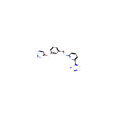 CC(C)n1cnnc1-c1cccc(NC(=O)c2cccc(Sc3ccncn3)c2)n1